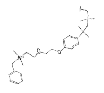 CC(C)(CI)CC(C)(C)c1ccc(OCCOCC[N+](C)(C)Cc2ccccc2)cc1